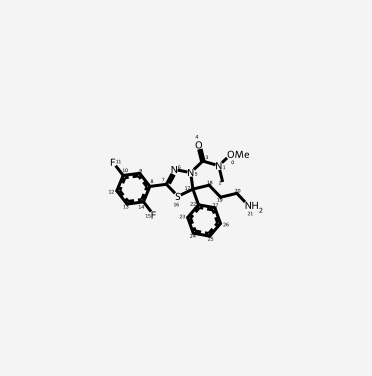 CON(C)C(=O)N1N=C(c2cc(F)ccc2F)SC1(CCCN)c1ccccc1